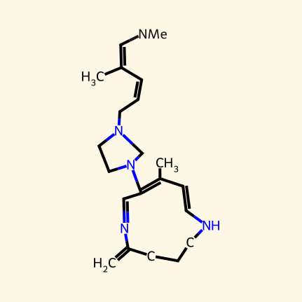 C=C1CCCN/C=C/C(C)=C(N2CCN(C/C=C\C(C)=C/NC)C2)\C=N/1